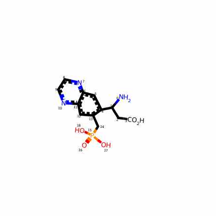 NC(CC(=O)O)c1cc2nccnc2cc1CP(=O)(O)O